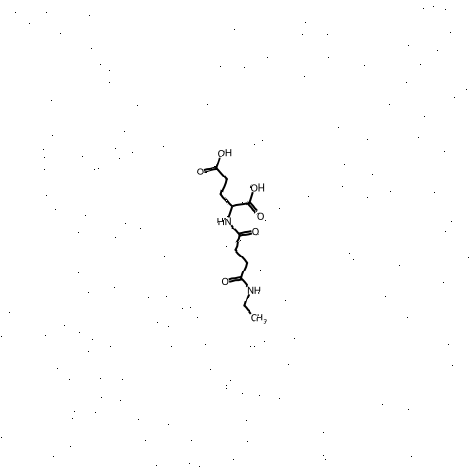 CCNC(=O)CCC(=O)NC(CCC(=O)O)C(=O)O